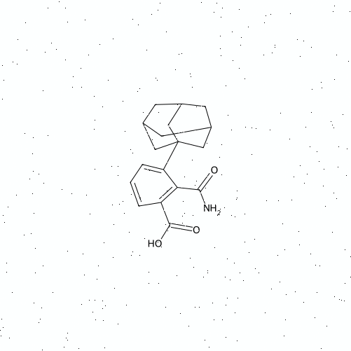 NC(=O)c1c(C(=O)O)cccc1C12CC3CC(CC(C3)C1)C2